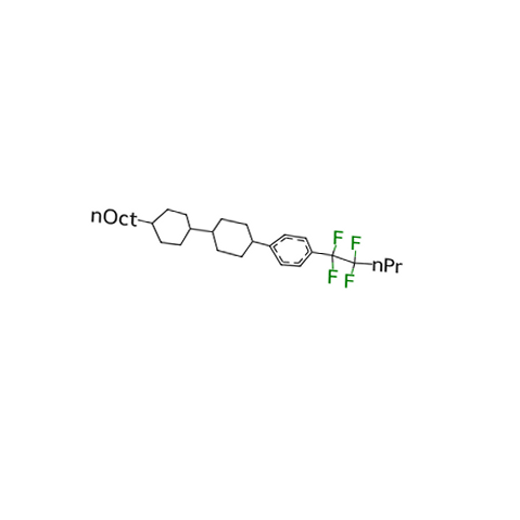 CCCCCCCCC1CCC(C2CCC(c3ccc(C(F)(F)C(F)(F)CCC)cc3)CC2)CC1